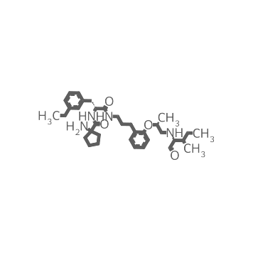 CCc1cccc(C[C@@H](NC(=O)C2(N)CCCC2)C(=O)NCCCc2ccccc2O[C@@H](C)CN[C@H](C=O)C(C)CC)c1